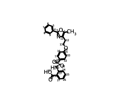 Cc1oc(-c2ccccc2)nc1CCOc1ccc(S(=O)(=O)Nc2ccccc2C(=O)O)cc1